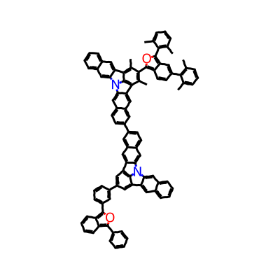 Cc1cccc(C)c1-c1ccc2c(-c3c(C)c4c5cc6ccccc6cc5n5c6cc7ccc(-c8ccc9cc%10c(cc9c8)c8cc(-c9cccc(-c%11oc(-c%12ccccc%12)c%12ccccc%11%12)c9)cc9c%11cc%12ccccc%12cc%11n%10c98)cc7cc6c(c3C)c45)oc(-c3c(C)cccc3C)c2c1